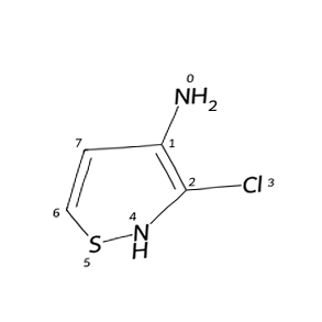 NC1=C(Cl)NSC=C1